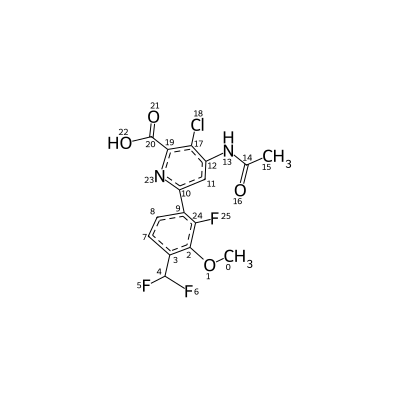 COc1c(C(F)F)ccc(-c2cc(NC(C)=O)c(Cl)c(C(=O)O)n2)c1F